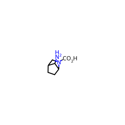 NC1C2CCC1N(C(=O)O)C2